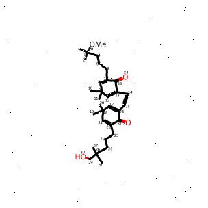 COC(C)(C)CCCC1=CC(C)(C)C=C(/C=C\C2=CC(C)(C)C=C(CCCC(C)(C)CO)C2=O)C1=O